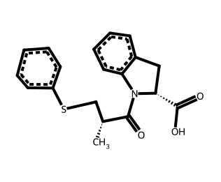 C[C@H](CSc1ccccc1)C(=O)N1c2ccccc2C[C@@H]1C(=O)O